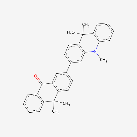 CN1c2ccccc2C(C)(C)c2ccc(-c3ccc4c(c3)C(=O)c3ccccc3C4(C)C)cc21